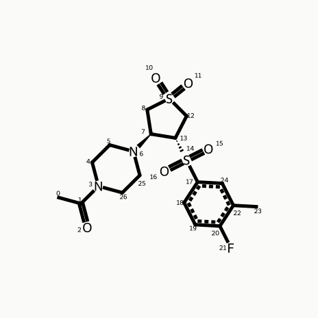 CC(=O)N1CCN([C@H]2CS(=O)(=O)C[C@@H]2S(=O)(=O)c2ccc(F)c(C)c2)CC1